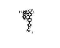 NCCN1CC(c2ccc(-c3ccc(C(F)(F)F)c(S(N)(=O)=O)c3-c3nnn[nH]3)cc2)C1